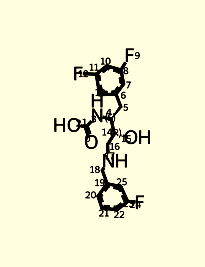 O=C(O)N[C@@H](Cc1cc(F)cc(F)c1)[C@H](O)CNCc1cccc(F)c1